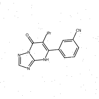 CC(C)c1c(-c2cccc(C#N)c2)[nH]c2ncnn2c1=O